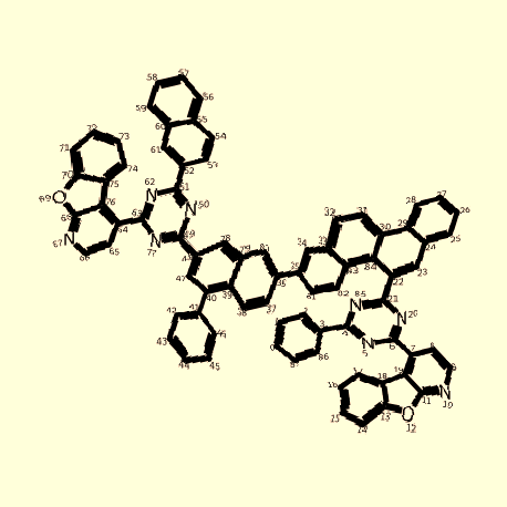 c1ccc(-c2nc(-c3ccnc4oc5ccccc5c34)nc(-c3cc4ccccc4c4ccc5cc(-c6ccc7c(-c8ccccc8)cc(-c8nc(-c9ccc%10ccccc%10c9)nc(-c9ccnc%10oc%11ccccc%11c9%10)n8)cc7c6)ccc5c34)n2)cc1